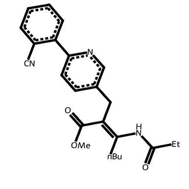 CCCCC(NC(=O)CC)=C(Cc1ccc(-c2ccccc2C#N)nc1)C(=O)OC